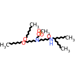 CCCCCCCCOC(CCCCCN(CCCCCC(=O)NCC(CCCCCC)CCCCCC)CCOS(C)(=O)=O)OCCCCCCCC